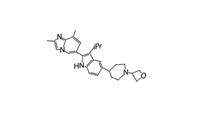 Cc1cn2cc(-c3[nH]c4ccc(C5CCN(C6COC6)CC5)cc4c3C(C)C)cc(C)c2n1